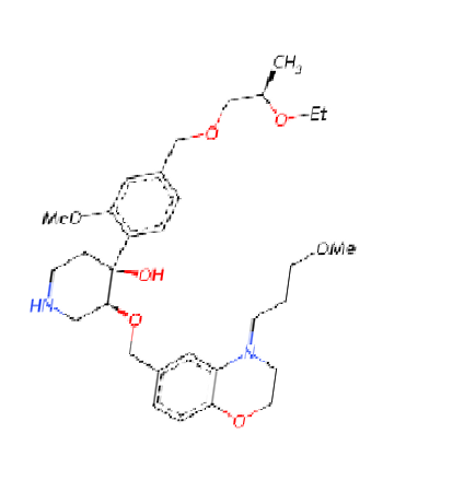 CCO[C@H](C)COCc1ccc([C@@]2(O)CCNC[C@@H]2OCc2ccc3c(c2)N(CCCOC)CCO3)c(OC)c1